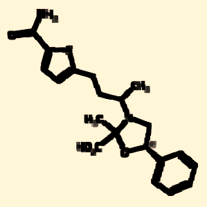 CC(CCc1ccc(C(N)=O)s1)N1C[C@@H](c2ccccc2)OC1(C)C(=O)O